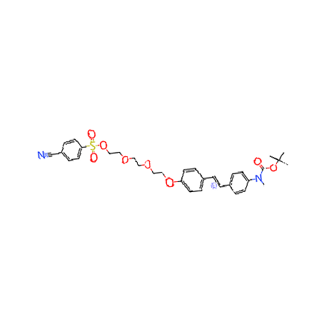 CN(C(=O)OC(C)(C)C)c1ccc(/C=C/c2ccc(OCCOCCOCCOS(=O)(=O)c3ccc(C#N)cc3)cc2)cc1